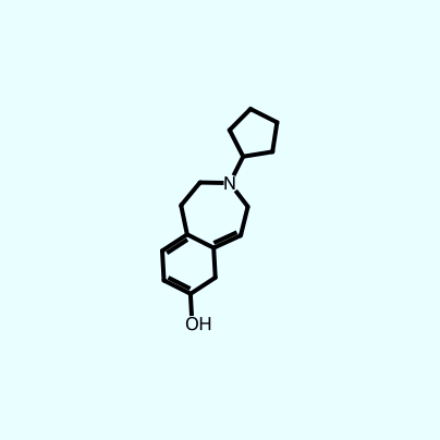 OC1=CC=C2CCN(C3CCCC3)CC=C2C1